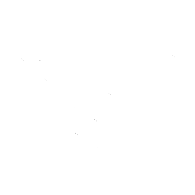 Cc1cc(Nc2nccc(-c3cc4cc(C#N)ccc4[nH]3)n2)ccc1N1CC2CC1CN2C